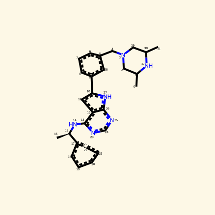 CC1CN(Cc2cccc(-c3cc4c(N[C@H](C)c5ccccc5)ncnc4[nH]3)c2)CC(C)N1